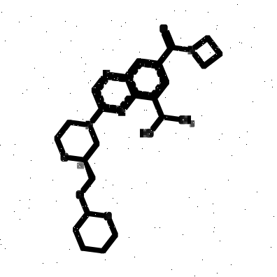 CC(O)c1cc(C(=O)N2CCC2)cc2ncc(N3CCO[C@H](COC4CCCCO4)C3)nc12